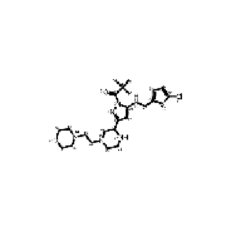 CC(C)(C)C(=O)n1nc(C2CN(CCN3CCOCC3)CCN2)cc1NCc1ccc(Cl)s1